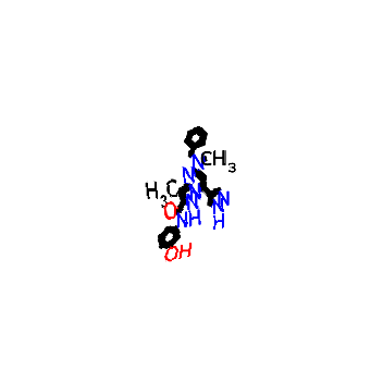 Cc1c(C(=O)Nc2cccc(O)c2)nn2c(-c3cn[nH]c3)cc(N(C)Cc3ccccc3)nc12